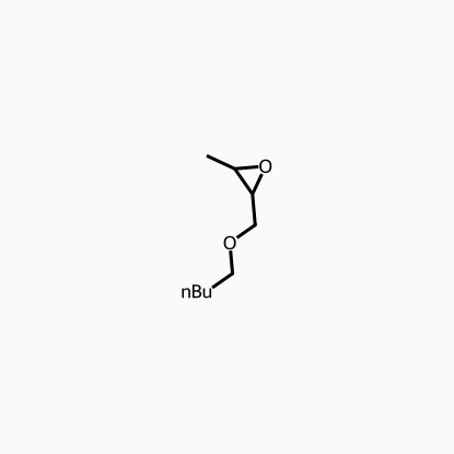 CCCCCOCC1OC1C